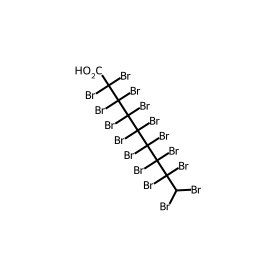 O=C(O)C(Br)(Br)C(Br)(Br)C(Br)(Br)C(Br)(Br)C(Br)(Br)C(Br)(Br)C(Br)(Br)C(Br)Br